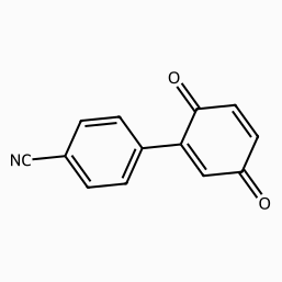 N#Cc1ccc(C2=CC(=O)C=CC2=O)cc1